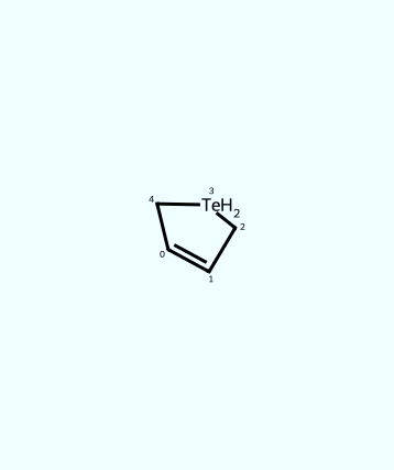 C1=CC[TeH2]C1